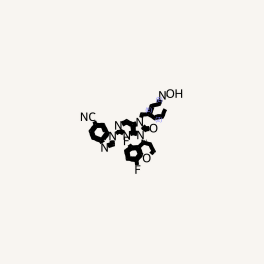 C\C=C/C(=C\C=N\O)Cn1c(=O)n([C@@H]2CCOc3c(F)ccc(F)c32)c2nc(-n3cnc4ccc(C#N)cc43)ncc21